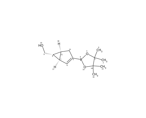 CC1(C)OB(C2=C[C@H]3[C@H](CO)[C@H]3C2)OC1(C)C